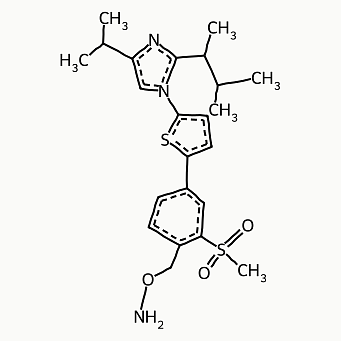 CC(C)c1cn(-c2ccc(-c3ccc(CON)c(S(C)(=O)=O)c3)s2)c(C(C)C(C)C)n1